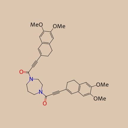 COc1cc2c(cc1OC)CCC(C#CC(=O)N1CCCN(C(=O)C#CC3=Cc4cc(OC)c(OC)cc4CC3)CC1)=C2